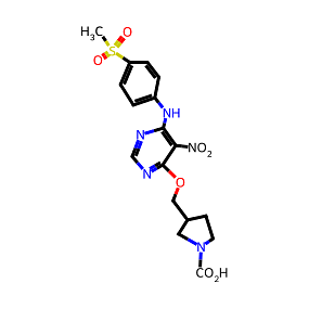 CS(=O)(=O)c1ccc(Nc2ncnc(OCC3CCN(C(=O)O)C3)c2[N+](=O)[O-])cc1